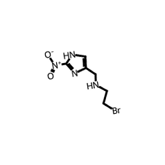 O=[N+]([O-])c1nc(CNCCBr)c[nH]1